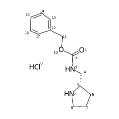 Cl.O=C(NC[C@@H]1CCCN1)OCc1ccccc1